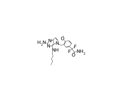 CCCCCNc1nc(N)nc2ccn(Cc3cc(C(F)(F)C(N)=O)ccc3OC)c12